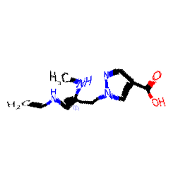 C=CN/C=C(/Cn1cc(C(=O)O)cn1)NC